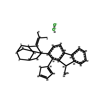 CC(C)=C1C2CC3CC(C2)CC1(c1ccc2c(c1C1=CC=CC1)[CH]([Zr+2])c1ccccc1-2)C3.[Cl-].[Cl-]